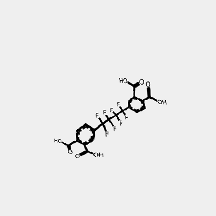 O=C(O)c1ccc(C(F)(F)C(F)(F)C(F)(F)C(F)(F)c2ccc(C(=O)O)c(C(=O)O)c2)cc1C(=O)O